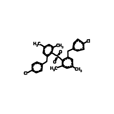 Cc1cc(C)c(S(=O)(=O)c2c(C)cc(C)cc2Cc2ccc(Cl)cc2)c(Cc2ccc(Cl)cc2)c1